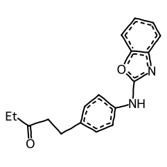 CCC(=O)CCc1ccc(Nc2nc3ccccc3o2)cc1